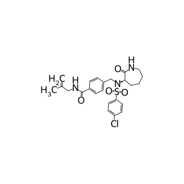 C=C(C)CNC(=O)c1ccc(CN([C@@H]2CCCCNC2=O)S(=O)(=O)c2ccc(Cl)cc2)cc1